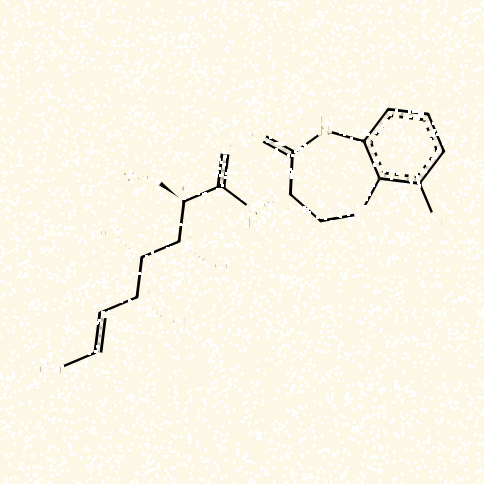 CO[C@@H](C(=O)N[C@H]1CSc2c(Br)cccc2NC1=O)[C@H](O)[C@@H](O)[C@H](O)C=CC(C)(C)C